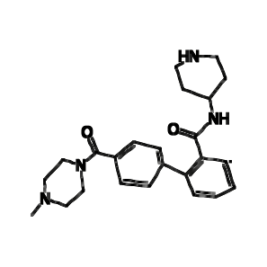 CN1CCN(C(=O)c2ccc(-c3ccc[c]c3C(=O)NC3CCNCC3)cc2)CC1